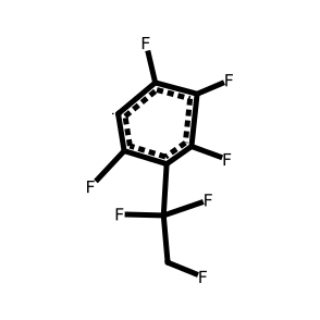 FCC(F)(F)c1c(F)[c]c(F)c(F)c1F